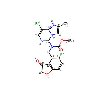 CC(C)(C)OC(=O)N(Cc1c(F)ccc2c1C(=O)CO2)c1ncc(Br)c2nc(C#N)cn12